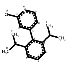 CC(C)c1cccc(C(C)C)c1-c1ccnc(Cl)c1